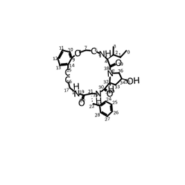 CCC(C)[C@@H]1NCCOc2ccccc2CCCNC(=O)[C@@H](Cc2ccccc2)NC(=O)[C@H]2C[C@H](O)CN2C1=O